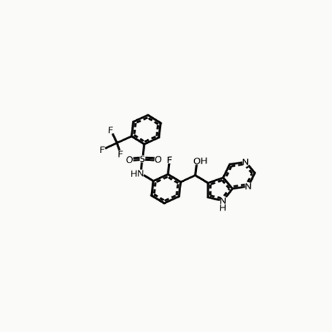 O=S(=O)(Nc1cccc(C(O)c2c[nH]c3ncncc23)c1F)c1ccccc1C(F)(F)F